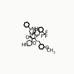 COc1cccc(C[C@H]2OC3(CCNCC3)c3c2n(Cc2c(F)cccc2C(F)(F)F)c(=O)n(C[C@H](N)c2ccccc2)c3=O)c1